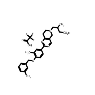 Cc1cccc(COc2ccc(-c3ncc4c(n3)CCN(CC(C)CC(=O)O)C4)cc2C)c1.O=C(O)C(F)(F)F